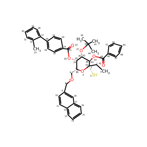 CC[C@@]1(S)O[C@H](COCc2ccc3ccccc3c2)[C@H](OC(=O)c2ccc(-c3ccccc3C)cc2)[C@H](OC(C)(C)C)[C@H]1OC(=O)c1ccccc1